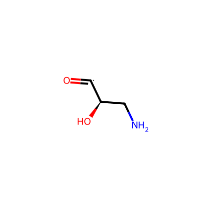 NC[C@@H](O)[C]=O